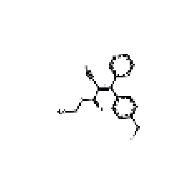 CCOC(=O)/C(C#N)=C(/c1ccccc1)c1ccc(CBr)cc1